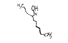 CCCCCCC(CCC)[N]O